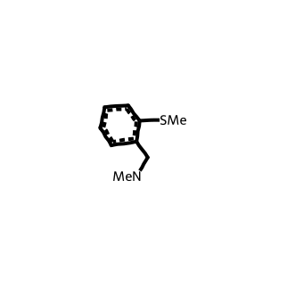 CNCc1ccccc1SC